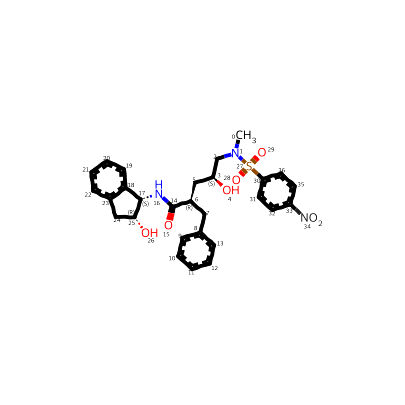 CN(C[C@@H](O)C[C@@H](Cc1ccccc1)C(=O)N[C@H]1c2ccccc2C[C@H]1O)S(=O)(=O)c1ccc([N+](=O)[O-])cc1